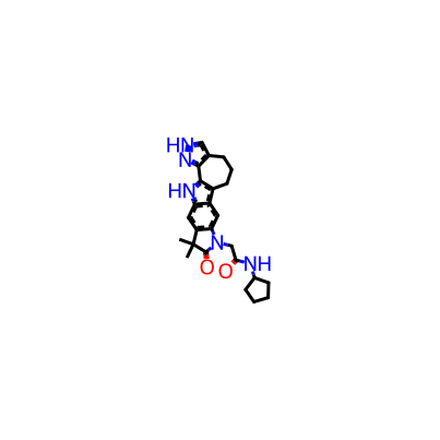 CC1(C)C(=O)N(CC(=O)NC2CCCC2)c2cc3c4c([nH]c3cc21)-c1n[nH]cc1CCC4